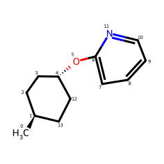 C[C@H]1CC[C@H](Oc2ccccn2)CC1